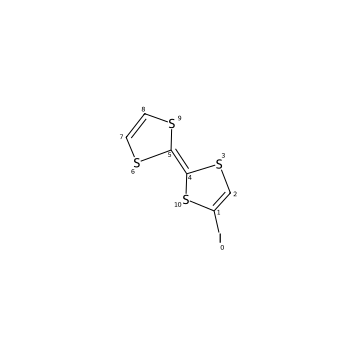 IC1=CSC(=C2SC=CS2)S1